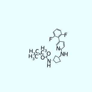 CC(C)(C)OC(=O)N[C@H]1CC[C@H](Nc2ccc(-c3c(F)cccc3F)cn2)C1